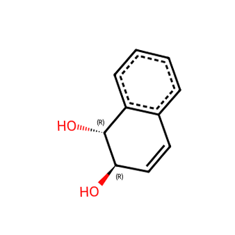 O[C@@H]1C=Cc2ccccc2[C@H]1O